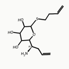 C=CCCSC1OC([C@H](N)CC=C)C(O)C(O)C1O